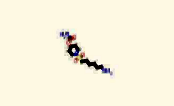 NCCCCCCS(=O)(=O)N1CCC(OC(N)=O)CC1